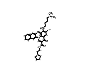 CN(C)CCCCNc1c(F)cc2c(=O)c(C(=O)NCCN3CCCC3)cn3c2c1Oc1cc2ccccc2cc1-3